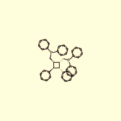 c1ccc([C@H]2[C@@H](CP(c3ccccc3)c3ccccc3)[C@H](CP(c3ccccc3)c3ccccc3)[C@@H]2c2ccccc2)cc1